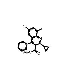 COC(=O)c1c(C2CC2)nc2c(C)cc(Cl)cc2c1-c1ccccc1